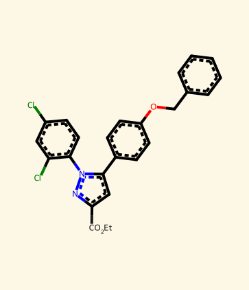 CCOC(=O)c1cc(-c2ccc(OCc3ccccc3)cc2)n(-c2ccc(Cl)cc2Cl)n1